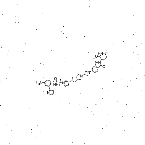 CC(C)(C(=O)Nc1ccc(C(F)(F)F)cc1-n1cccn1)n1cc(C2CC3CN(C4CN(c5ccc6c(c5)C(=O)N(C5CCC(=O)NC5=O)C6=O)C4)CC3C2)cn1